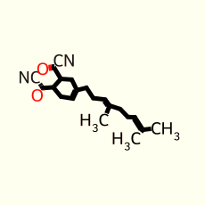 CC(C)=CCC/C(C)=C/CCC1=CCC(C(=O)C#N)C(C(=O)C#N)C1